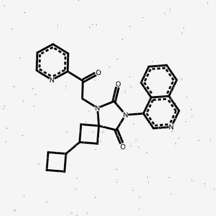 O=C(CN1C(=O)N(c2cncc3ccccc23)C(=O)C12CC(C1CCC1)C2)c1ccccn1